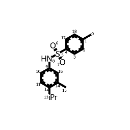 Cc1ccc(S(=O)(=O)Nc2ccc(C(C)C)c(C)c2)cc1